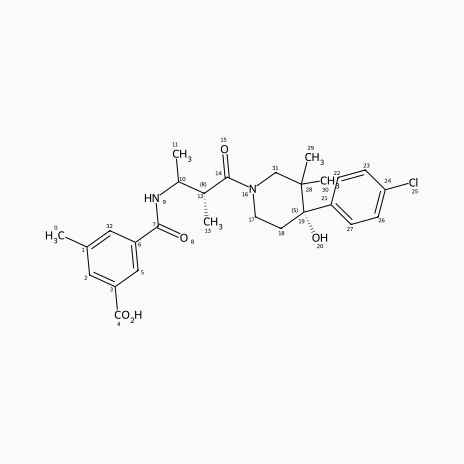 Cc1cc(C(=O)O)cc(C(=O)NC(C)[C@@H](C)C(=O)N2CC[C@](O)(c3ccc(Cl)cc3)C(C)(C)C2)c1